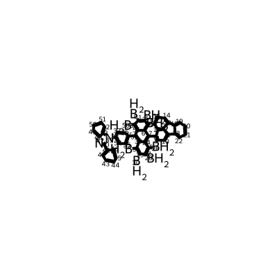 Bc1c(B)c(B)c2c(-c3ccc4c5c(cccc35)-c3ccccc3-4)c3c(B)c(B)c(B)c(B)c3c(-c3ccc(-n4c(-c5ccccc5)nc5ccccc54)cc3)c2c1B